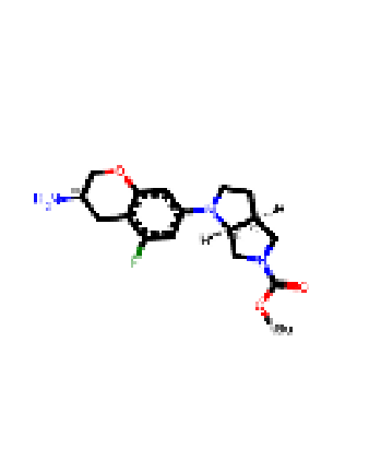 CC(C)(C)OC(=O)N1C[C@@H]2CCN(c3cc(F)c4c(c3)OC[C@H](N)C4)[C@@H]2C1